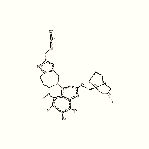 COc1c(F)c(Br)c(F)c2nc(OC[C@@]34CCCN3C[C@H](F)C4)nc(N3CCCn4nc(CN=[N+]=[N-])cc4C3)c12